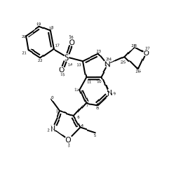 Cc1noc(C)c1-c1cnc2c(c1)c(S(=O)(=O)c1ccccc1)cn2C1COC1